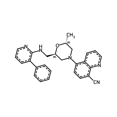 C[C@@H]1CN(c2ccc(C#N)c3ncccc23)C[C@@H](CNc2ncccc2-c2ccccc2)O1